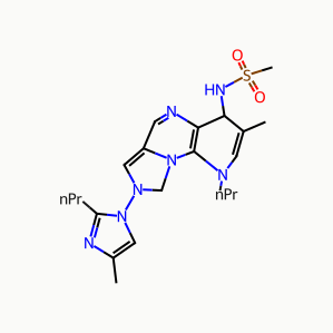 CCCc1nc(C)cn1N1C=C2C=NC3=C(N(CCC)C=C(C)C3NS(C)(=O)=O)N2C1